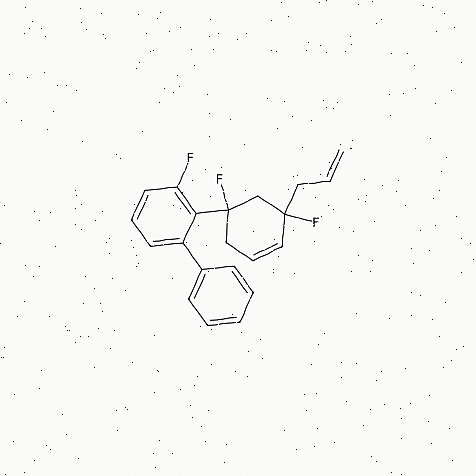 C=CCC1(F)C=CCC(F)(c2c(F)cccc2-c2ccccc2)C1